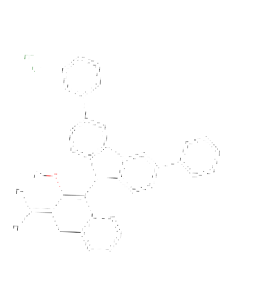 CC[Si](CC)=C1Cc2ccccc2C(C2c3ccc(-c4ccccc4)cc3-c3cc(-c4ccccc4)ccc32)=C1[O][Ti+2].[Cl-].[Cl-]